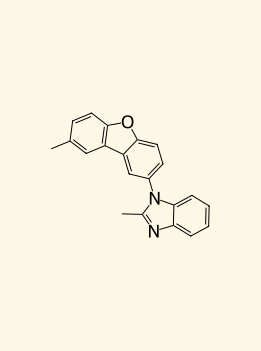 Cc1ccc2oc3ccc(-n4c(C)nc5ccccc54)cc3c2c1